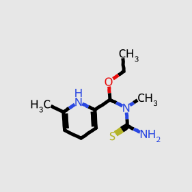 CCOC(C1=CCC=C(C)N1)N(C)C(N)=S